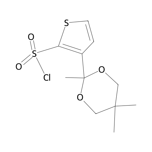 CC1(C)COC(C)(c2ccsc2S(=O)(=O)Cl)OC1